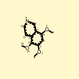 COc1cc(OC)c2cnccc2c1OC